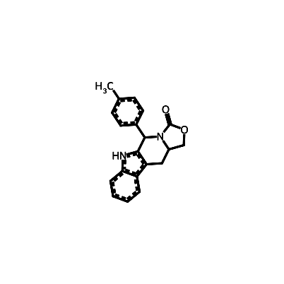 Cc1ccc(C2c3[nH]c4ccccc4c3CC3COC(=O)N32)cc1